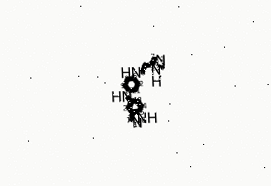 c1ncc(CCNC2CCC(Nc3ccc4[nH]ncc4c3)CC2)[nH]1